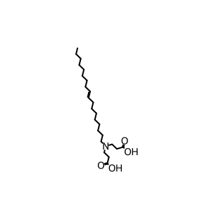 CCCCCCCC/C=C/CCCCCCCCN(CCC(=O)O)CCC(=O)O